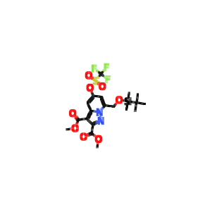 COC(=O)c1nn2c(CO[Si](C)(C)C(C)(C)C)cc(OS(=O)(=O)C(F)(F)F)cc2c1C(=O)OC